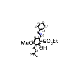 C=C(C)CCc1c(OC)cc(/C=C/c2ccccc2)c(C(=O)OCC)c1O